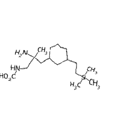 CC(N)(CNC(=O)O)CC1CCCC(CC[Si](C)(C)C)C1